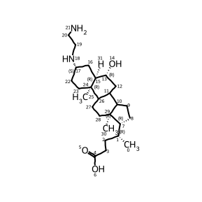 C[C@H](CCC(=O)O)[C@H]1CCC2C3C[C@@H](O)[C@@H]4C[C@@H](NCCN)CC[C@]4(C)C3CC[C@@]21C